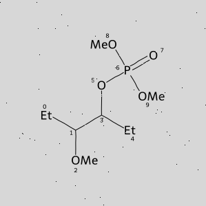 CCC(OC)C(CC)OP(=O)(OC)OC